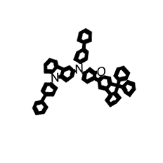 c1ccc(-c2ccc(N(c3ccc4c(c3)oc3cc5c(cc34)-c3ccccc3C5(c3ccccc3)c3ccccc3)c3ccc4c(c3)c3ccccc3n4-c3ccc(-c4ccccc4)cc3)cc2)cc1